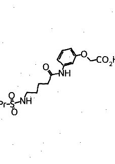 CC(C)S(=O)(=O)NCCCCC(=O)Nc1cccc(OCC(=O)O)c1